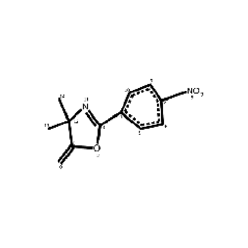 C=C1OC(c2ccc([N+](=O)[O-])cc2)=NC1(C)C